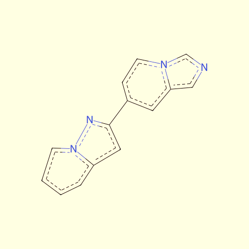 c1ccn2nc(-c3ccn4cncc4c3)cc2c1